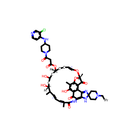 C/C1=C/C=C/C(C)[C@H](O)CC(O)C[C@H](OC(=O)CC(=O)N2CCC(Nc3ccncc3Cl)CC2)CC/C=C/O[C@@]2(C)Oc3c(C)c(O)c4c(c3C2=O)C2=NC3(CCN(CC(C)C)CC3)NC2=C(NC1=O)C4=O